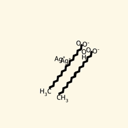 CCCCCCCCC=CCCCCCCCC(=O)[O-].CCCCCCCCCCCCCCCCC(O)C(=O)[O-].[Ag+].[Ag+]